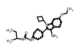 CCOc1ccc2c(N)c(-c3ccc(NC(=O)NC(C)CC)cc3)n(C3CCC3)c2c1